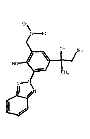 CCN(CC)Cc1cc(C(C)(C)CC(C)(C)C)cc(-n2nc3ccccc3n2)c1O